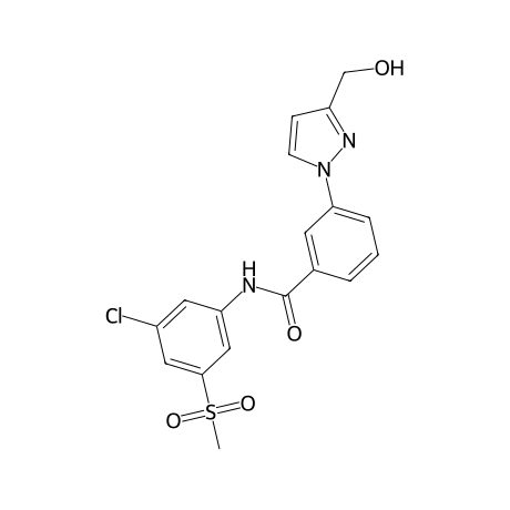 CS(=O)(=O)c1cc(Cl)cc(NC(=O)c2cccc(-n3ccc(CO)n3)c2)c1